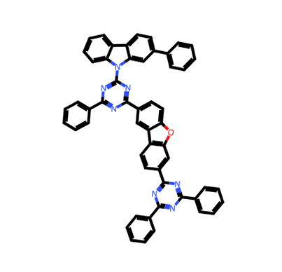 c1ccc(-c2ccc3c4ccccc4n(-c4nc(-c5ccccc5)nc(-c5ccc6oc7cc(-c8nc(-c9ccccc9)nc(-c9ccccc9)n8)ccc7c6c5)n4)c3c2)cc1